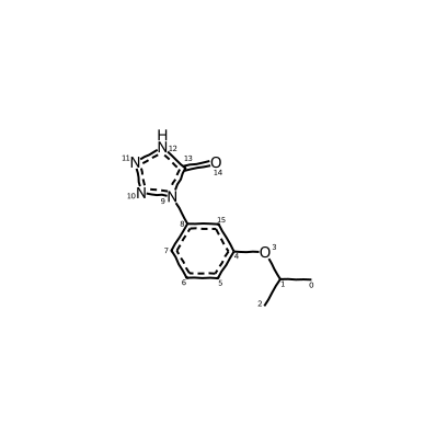 CC(C)Oc1cccc(-n2nn[nH]c2=O)c1